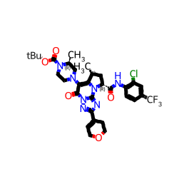 C[C@@H]1CN(c2c3n(c4nc(C5=CCOCC5)nn4c2=O)[C@@H](C(=O)Nc2ccc(C(F)(F)F)cc2Cl)C[C@@H]3C)CCN1C(=O)OC(C)(C)C